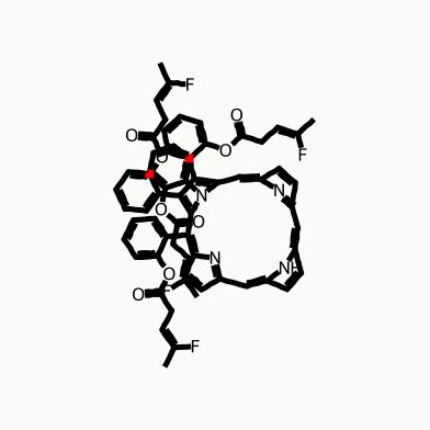 CC(F)=CCC(=O)Oc1ccccc1-c1c(-c2ccccc2OC(=O)CC=C(C)F)c2c(-c3ccccc3OC(=O)CC=C(C)F)c3nc(cc4ccc(cc5nc(cc1n2-c1ccccc1OC(=O)CC=C(C)F)C=C5)[nH]4)C=C3